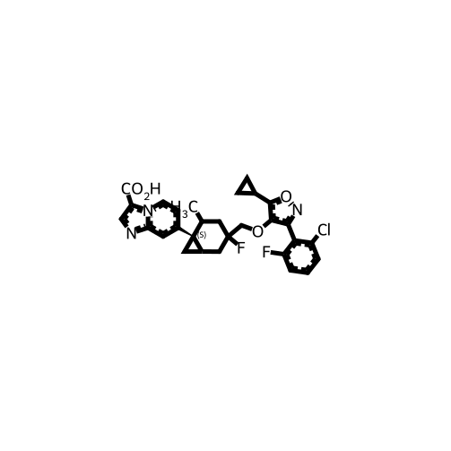 CC1CC(F)(COc2c(-c3c(F)cccc3Cl)noc2C2CC2)CC2C[C@]12c1ccn2c(C(=O)O)cnc2c1